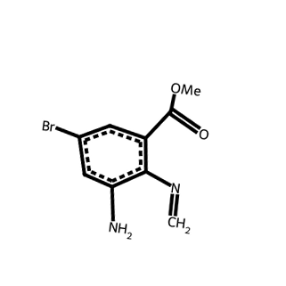 C=Nc1c(N)cc(Br)cc1C(=O)OC